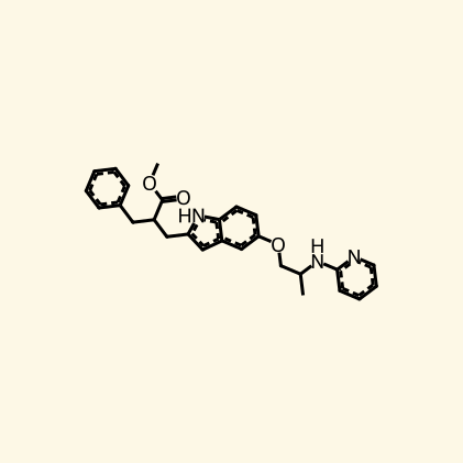 COC(=O)C(Cc1ccccc1)Cc1cc2cc(OCC(C)Nc3ccccn3)ccc2[nH]1